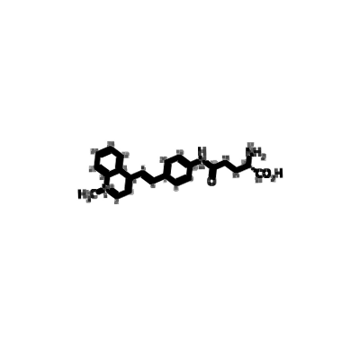 C[n+]1ccc(C=Cc2ccc(NC(=O)CC[C@H](N)C(=O)O)cc2)c2ccccc21